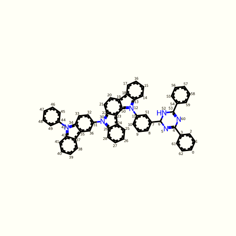 c1ccc(C2=NC(c3cccc(-n4c5ccccc5c5ccc6c(c7ccccc7n6-c6ccc7c(c6)c6ccccc6n7-c6ccccc6)c54)c3)NC(c3ccccc3)=N2)cc1